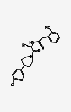 CC(C)[C@@H](NC(=O)Cc1ccccc1C#N)C(=O)N1CCC(c2ccc(Cl)cc2)CC1